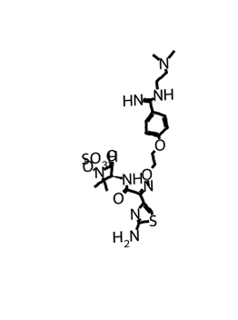 CN(C)CCNC(=N)c1ccc(OCCON=C(C(=O)N[C@@H]2C(=O)N(OS(=O)(=O)O)C2(C)C)c2csc(N)n2)cc1